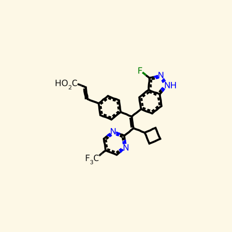 O=C(O)C=Cc1ccc(C(=C(c2ncc(C(F)(F)F)cn2)C2CCC2)c2ccc3[nH]nc(F)c3c2)cc1